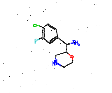 NC(c1ccc(Cl)c(F)c1)C1CNCCO1